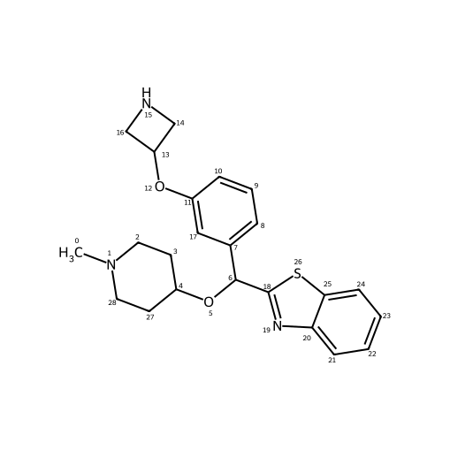 CN1CCC(OC(c2cccc(OC3CNC3)c2)c2nc3ccccc3s2)CC1